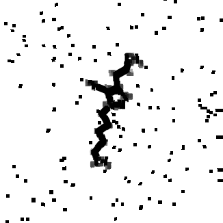 CCCCCCn1nnc(CCC)c1F